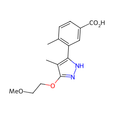 COCCOc1n[nH]c(-c2cc(C(=O)O)ccc2C)c1C